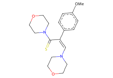 COc1ccc(/C(=C/N2CCOCC2)C(=S)N2CCOCC2)cc1